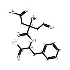 O=CCC(O)(CC(=O)O)C(=O)NC(Cc1ccccc1)C(=O)O